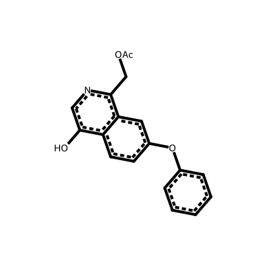 CC(=O)OCc1ncc(O)c2ccc(Oc3ccccc3)cc12